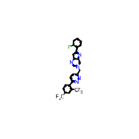 Fc1ccccc1-c1cc2ncn(Cc3ccc(-c4ccc(C(F)(F)F)cc4C(F)(F)F)nn3)cc-2n1